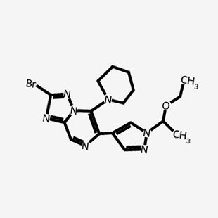 CCOC(C)n1cc(-c2ncc3nc(Br)nn3c2N2CCCCC2)cn1